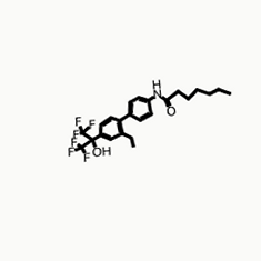 CCCCCCC(=O)Nc1ccc(-c2ccc(C(O)(C(F)(F)F)C(F)(F)F)cc2CC)cc1